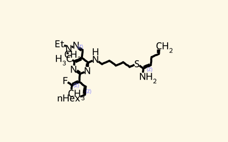 C=CC/C=C(/N)SCCCCCNc1nc(C(/C=C\CCCCCC)=C(/C)F)nc(C)c1/C=N\N(C)CC